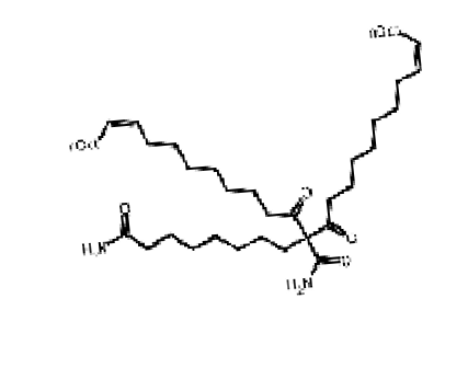 CCCCCCCC/C=C\CCCCCCCC(=O)C(CCCCCCCC(N)=O)(C(N)=O)C(=O)CCCCCCC/C=C\CCCCCCCC